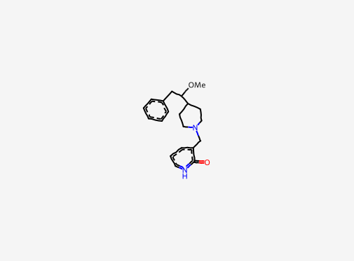 COC(Cc1ccccc1)C1CCN(Cc2ccc[nH]c2=O)CC1